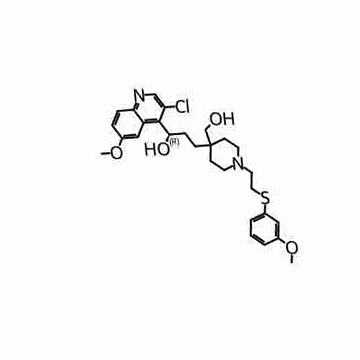 COc1cccc(SCCN2CCC(CO)(CC[C@@H](O)c3c(Cl)cnc4ccc(OC)cc34)CC2)c1